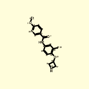 CCOc1ccc(C(=O)Nc2ccc(OC3CNC3)c(F)c2)cn1